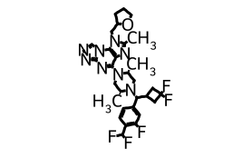 Cc1nc2c(N3C[C@@H](C)N(C(c4ccc(C(F)F)c(F)c4)C4CC(F)(F)C4)C[C@@H]3C)nc3nncn3c2n1CC1CCCO1